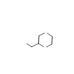 Cl.Cl.FC(F)(F)CC1CNCCN1